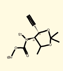 C#C[C@@H]1OC(C)(C)OC(C)[C@H]1N(CC)C(=O)OC(C)(C)C